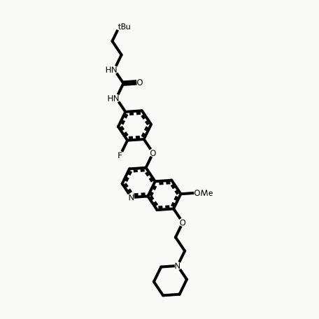 COc1cc2c(Oc3ccc(NC(=O)NCCC(C)(C)C)cc3F)ccnc2cc1OCCN1CCCCC1